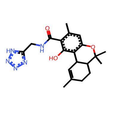 CC1=CC2c3c(cc(C)c(C(=O)NCc4nnn[nH]4)c3O)OC(C)(C)C2CC1